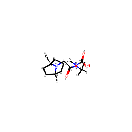 CC(C)(C)NC(=O)CN1[C@@H]2CC[C@H]1C[C@@H](CNC(=O)O)C2